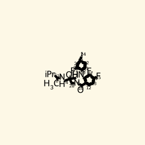 CC(C)C(C)NCC1(O)CN(C(=O)c2ccc(F)c(F)c2Nc2ccc(I)cc2F)C1